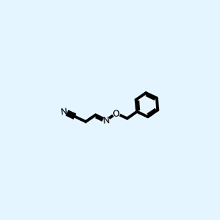 N#CC/C=N/OCc1ccccc1